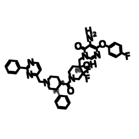 Nc1c(Oc2ccc(F)cc2)ncn(C[C@@]2(O)CCN(C(=O)[C@@H]3CCN(Cc4ccnc(-c5ccccc5)n4)C[C@H]3c3ccccc3)CC2(F)F)c1=O